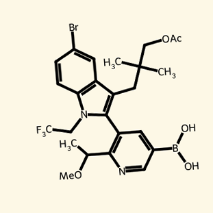 COC(C)c1ncc(B(O)O)cc1-c1c(CC(C)(C)COC(C)=O)c2cc(Br)ccc2n1CC(F)(F)F